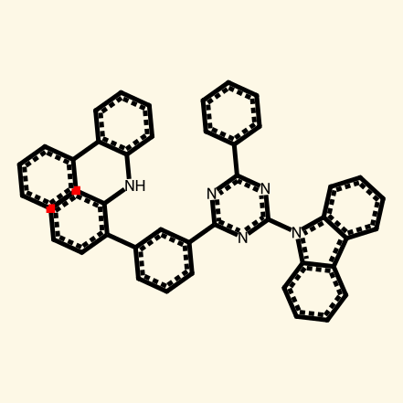 c1ccc(-c2nc(-c3cccc(-c4ccccc4Nc4ccccc4-c4ccccc4)c3)nc(-n3c4ccccc4c4ccccc43)n2)cc1